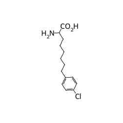 NC(CCCCCCc1ccc(Cl)cc1)C(=O)O